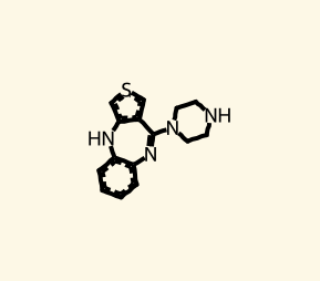 c1ccc2c(c1)N=C(N1CCNCC1)c1cscc1N2